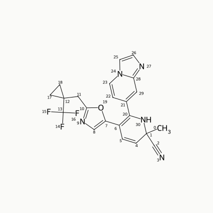 CC1(C#N)C=CC(c2cnc(CC3(C(F)(F)F)CC3)o2)=C(c2ccn3ccnc3c2)N1